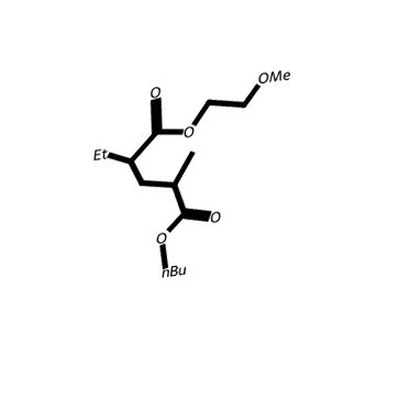 CCCCOC(=O)C(C)CC(CC)C(=O)OCCOC